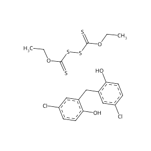 CCOC(=S)SSC(=S)OCC.Oc1ccc(Cl)cc1Cc1cc(Cl)ccc1O